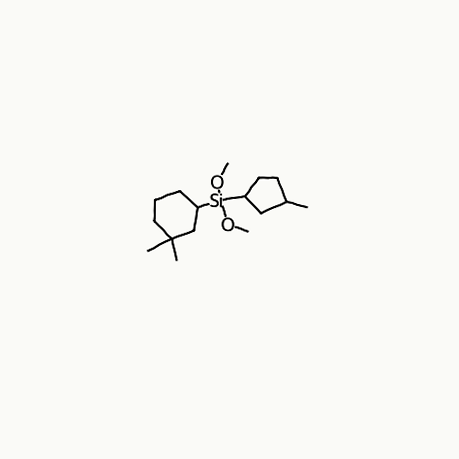 CO[Si](OC)(C1CCC(C)C1)C1CCCC(C)(C)C1